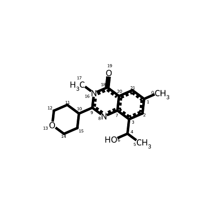 Cc1cc(C(C)O)c2nc(C3CCOCC3)n(C)c(=O)c2c1